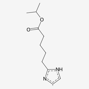 CC(C)OC(=O)CCCCc1n[c]c[nH]1